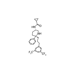 O=C(N[C@H]1CC[C@@](CCCc2cc(C(F)(F)F)cc(C(F)(F)F)c2)(c2ccccc2)NC1)C1CC1